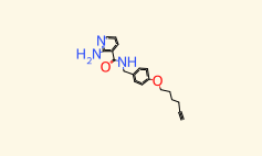 C#CCCCCOc1ccc(CNC(=O)c2cccnc2N)cc1